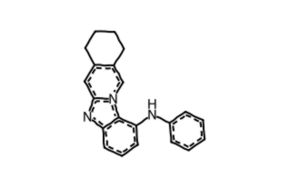 c1ccc(Nc2cccc3nc4cc5c(cn4c23)CCCC5)cc1